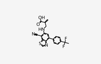 C=C(CNc1cc(-c2ccc(C(C)(F)F)cc2)c2ncsc2c1C#N)C(=O)O